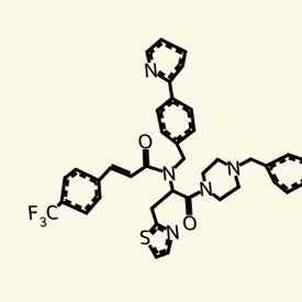 O=C(C(Cc1nccs1)N(Cc1ccc(-c2ccccn2)cc1)C(=O)C=Cc1ccc(C(F)(F)F)cc1)N1CCN(Cc2ccccc2)CC1